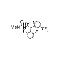 CNC(=O)NC(=O)C(c1cc(C(F)(F)F)ccn1)c1c(F)cccc1F